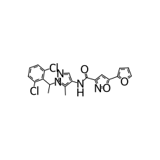 Cc1c(NC(=O)c2cc(-c3ccco3)on2)cnn1C(C)c1c(Cl)cccc1Cl